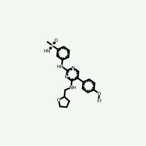 CCOc1ccc(-c2cnc(Nc3cccc(S(C)(=N)=O)c3)nc2NCC2CCCO2)cc1